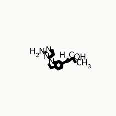 CCC(C)(O)C#Cc1ccc2c(c1)N(c1ccnc(N)n1)CC2